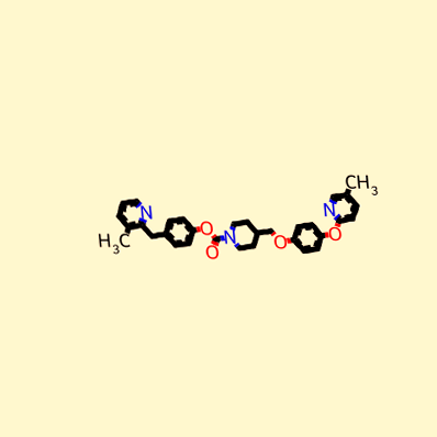 Cc1ccc(Oc2ccc(OCC3CCN(C(=O)Oc4ccc(Cc5ncccc5C)cc4)CC3)cc2)nc1